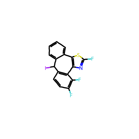 Fc1nc2c(s1)-c1ccccc1C(I)c1ccc(F)c(F)c1-2